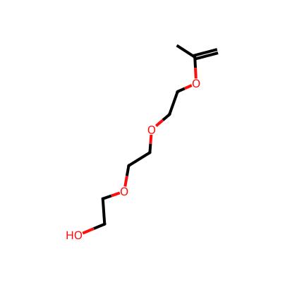 C=C(C)OCCOCCOCCO